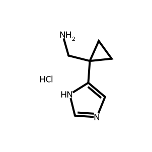 Cl.NCC1(c2cnc[nH]2)CC1